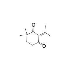 CC(C)=C1C(=O)CCC(C)(C)C1=O